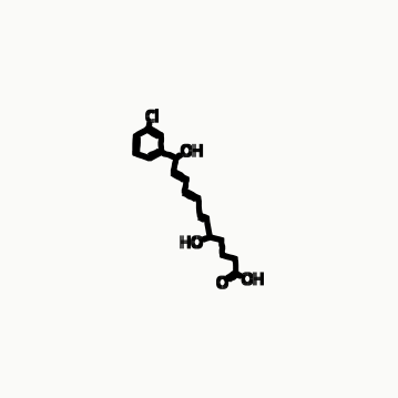 O=C(O)CCCC(O)C=CC=CC=CC(O)c1cccc(Cl)c1